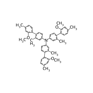 COc1cc(C)ccc1-c1ccc(N(c2ccc(-c3ccc(C)cc3OC)c(C)c2)c2ccc(-c3ccc(C)cc3OC)c(C)c2)cc1C